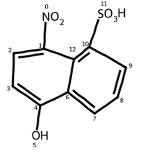 O=[N+]([O-])c1ccc(O)c2cccc(S(=O)(=O)O)c12